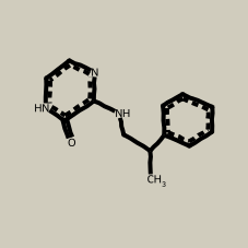 CC(CNc1ncc[nH]c1=O)c1ccccc1